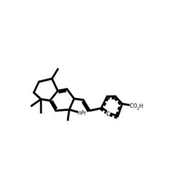 CCCC1(C)C=C2C(=CC1C=Cc1ccc(C(=O)O)cc1)C(C)CCC2(C)C